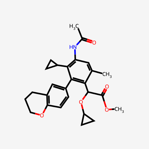 COC(=O)C(OC1CC1)c1c(C)cc(NC(C)=O)c(C2CC2)c1-c1ccc2c(c1)CCCO2